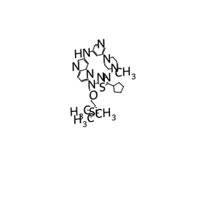 CN1CCN(c2cncc(Nc3cnc4ccc(N(COCC[Si](C)(C)C)c5nnc(C6CCCC6)s5)nc4c3)c2)CC1